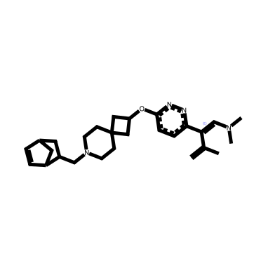 C=C(C)/C(=C\N(C)C)c1ccc(OC2CC3(CCN(CC4CC5C=CC4C5)CC3)C2)nn1